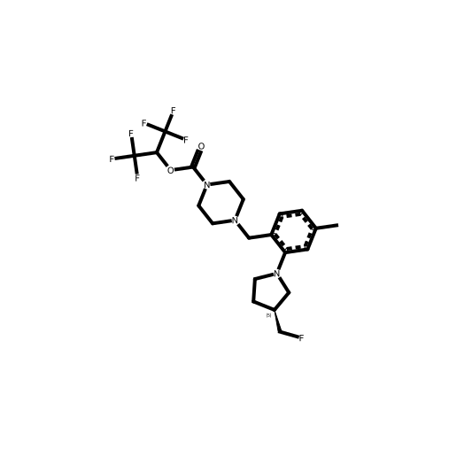 Cc1ccc(CN2CCN(C(=O)OC(C(F)(F)F)C(F)(F)F)CC2)c(N2CC[C@H](CF)C2)c1